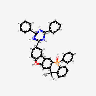 CC1(C)c2ccccc2P(=O)(c2ccccc2)c2cc3c(cc21)oc1ccc(-c2nc(-c4ccccc4)nc(-c4ccccc4)n2)cc13